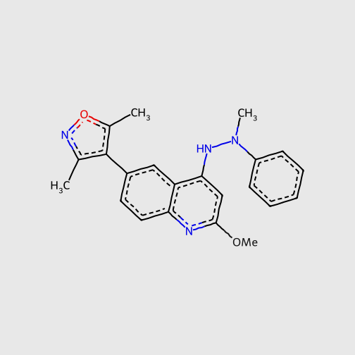 COc1cc(NN(C)c2ccccc2)c2cc(-c3c(C)noc3C)ccc2n1